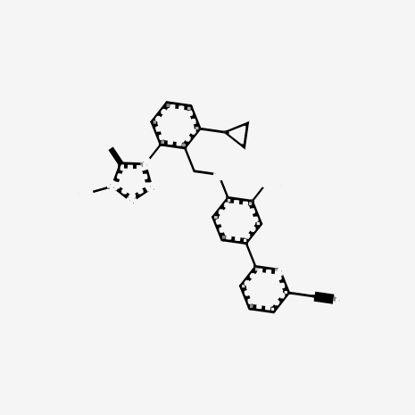 Cc1cc(-c2cccc(C#N)n2)ccc1OCc1c(C2CC2)cccc1-n1nnn(C)c1=O